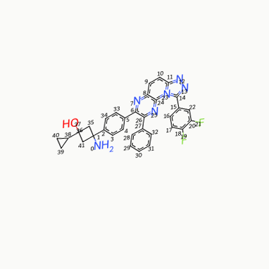 NC1(c2ccc(-c3nc4ccc5nnc(-c6ccc(F)c(F)c6)n5c4nc3-c3ccccc3)cc2)CC(O)(C2CC2)C1